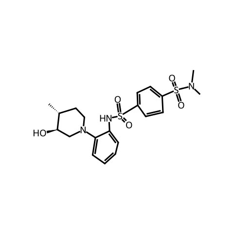 C[C@@H]1CCN(c2ccccc2NS(=O)(=O)c2ccc(S(=O)(=O)N(C)C)cc2)C[C@H]1O